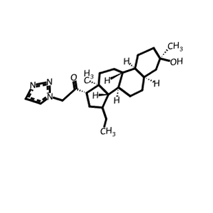 CCC1C[C@H](C(=O)Cn2ccnn2)[C@@]2(C)CC[C@H]3[C@@H](CC[C@@H]4C[C@](C)(O)CC[C@@H]43)[C@H]12